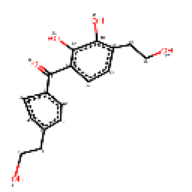 O=C(c1ccc(CCO)cc1)c1ccc(CCO)c(O)c1O